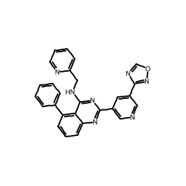 c1ccc(-c2cccc3nc(-c4cncc(-c5ncon5)c4)nc(NCc4ccccn4)c23)cc1